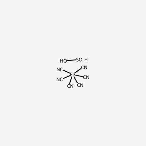 N#[C][Fe]([C]#N)([C]#N)([C]#N)([C]#N)[C]#N.O=S(=O)(O)O